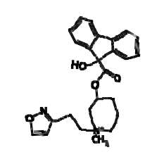 C[N+]1(CCc2ccon2)CCCC(OC(=O)C2(O)c3ccccc3-c3ccccc32)C1